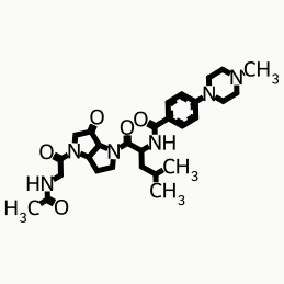 CC(=O)NCC(=O)N1CC(=O)C2C1CCN2C(=O)C(CC(C)C)NC(=O)c1ccc(N2CCN(C)CC2)cc1